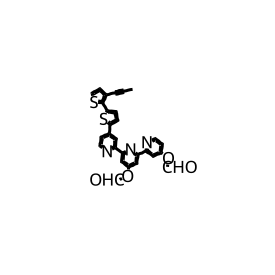 CC#Cc1ccsc1-c1ccc(-c2ccnc(-c3cc(OC=O)cc(-c4cc(OC=O)ccn4)n3)c2)s1